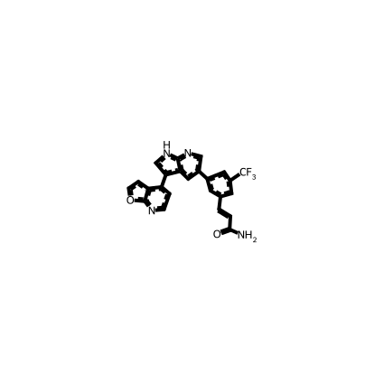 NC(=O)/C=C/c1cc(-c2cnc3[nH]cc(-c4ccnc5occc45)c3c2)cc(C(F)(F)F)c1